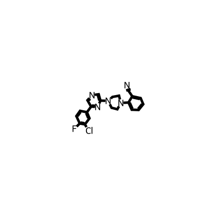 N#Cc1ccccc1N1CCN(c2cncc(-c3ccc(F)c(Cl)c3)n2)CC1